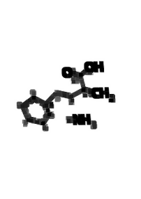 C=C(C=Cc1ccccc1)C(=O)O.N